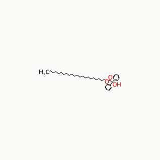 CCCCCCCCCCCCCCCCCCCCCCOC(=O)C(O)(c1ccccc1)c1ccccc1